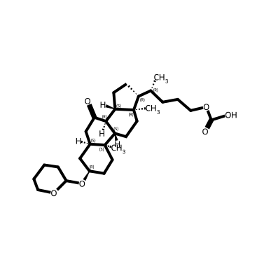 C[C@H](CCCOC(=O)O)[C@H]1CC[C@H]2[C@@H]3C(=O)C[C@@H]4C[C@H](OC5CCCCO5)CC[C@]4(C)[C@H]3CC[C@]12C